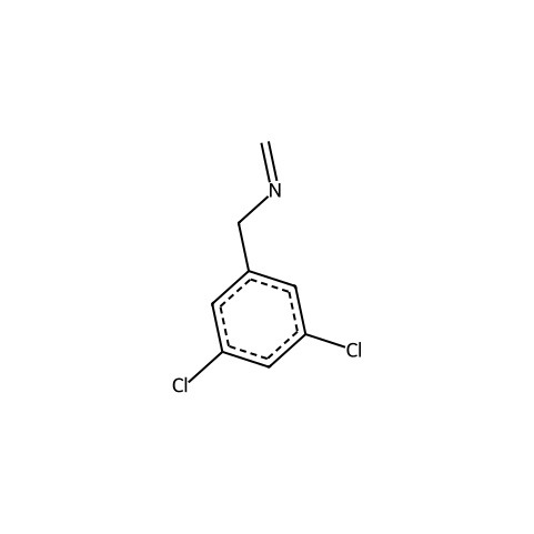 C=NCc1cc(Cl)cc(Cl)c1